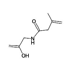 C=C(C)CC(=O)NCC(=C)O